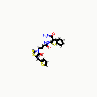 NC(=O)c1c(NC(=O)CCCN2C(=O)/C(=C\c3cccs3)SC2=S)sc2ccccc12